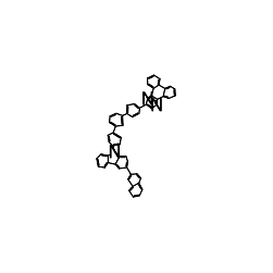 c1cc(-c2ccc(-c3cnc4c5ccccc5c5ccccc5c4n3)cc2)cc(-c2ccc(-n3c4ccccc4c4cc(-c5ccc6ccccc6c5)ccc43)cc2)c1